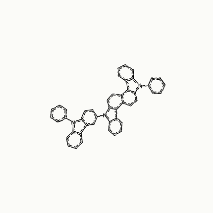 c1ccc(-n2c3ccccc3c3cc(-n4c5ccccc5c5c6ccc7c(c6ccc54)c4ccccc4n7-c4ccccc4)ccc32)cc1